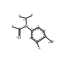 CC(=O)N(c1ccc(Br)c(C)c1)C(C)C